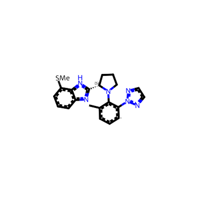 CSc1cccc2nc([C@@H]3CCCN3c3c(-n4nccn4)[c]ccc3C)[nH]c12